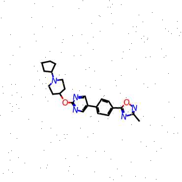 Cc1noc(-c2ccc(-c3cnc(OC4CCN(C5CCCC5)CC4)nc3)cc2)n1